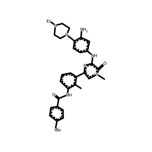 CCN1CCN(c2ccc(Nc3nc(-c4cccc(NC(=O)c5ccc(C(C)(C)C)cc5)c4C)cn(C)c3=O)cc2N)CC1